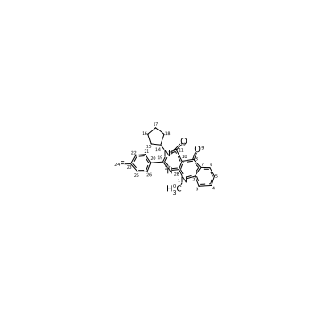 Cn1c2ccccc2c(=O)c2c(=O)n(C3CCCC3)c(-c3ccc(F)cc3)nc21